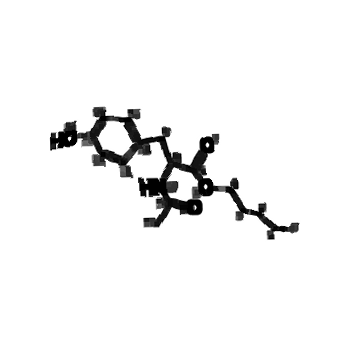 CCCCCOC(=O)C(Cc1ccc(O)cc1)NC(C)=O